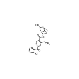 CCc1cc(C(=O)c2ncccc2Cl)ccc1C(=O)NC1C2CC3CC1CC(O)(C3)C2